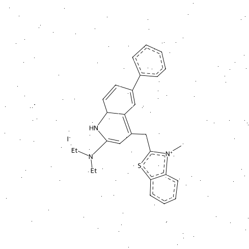 CCN(CC)C1=CC(Cc2sc3ccccc3[n+]2C)=C2C=C(c3ccccc3)C=CC2N1.[I-]